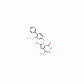 CCCCc1nc(C(O)C(C)(C)C)c(C(N)=O)n1Cc1ccc(-c2ccccc2)c(C(=O)O)c1